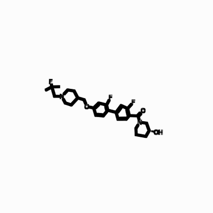 CC(C)(F)CN1CCC(COc2ccc(-c3ccc(C(=O)N4CCC[C@@H](O)C4)c(F)c3)c(F)c2)CC1